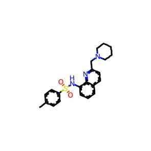 Cc1ccc(S(=O)(=O)Nc2cccc3ccc(CN4CCCCC4)nc23)cc1